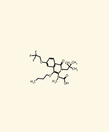 CCCCOc1c(N(C)C(=O)O)n(CC(C)(C)C)c(=O)c2ccc(OCC(F)(F)F)cc12